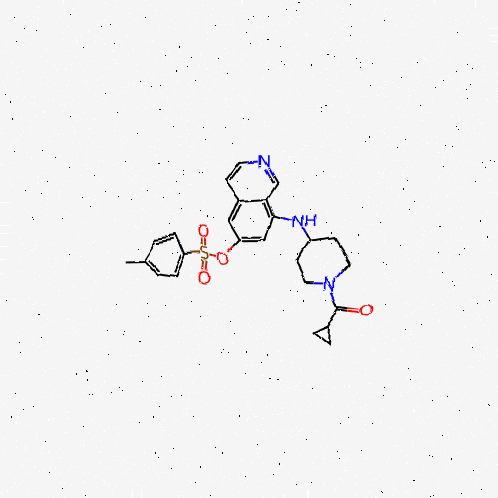 Cc1ccc(S(=O)(=O)Oc2cc(NC3CCN(C(=O)C4CC4)CC3)c3cnccc3c2)cc1